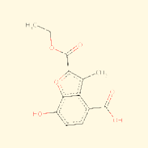 CCOC(=O)c1oc2c(O)ccc(C(=O)O)c2c1C